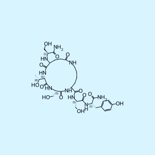 C[C@@H](O)[C@@H]1NC(=O)C(N[C@@H](CO)C(N)=O)CCC(=O)NCCCCC(C(=O)N[C@@H](CO)C(=O)N[C@@H](Cc2ccc(O)cc2)C(N)=O)NC(=O)[C@H](CO)NC1=O